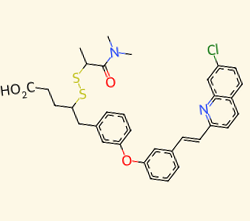 CC(SSC(CCC(=O)O)Cc1cccc(Oc2cccc(C=Cc3ccc4ccc(Cl)cc4n3)c2)c1)C(=O)N(C)C